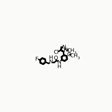 COc1ccc(NC(=O)CNCc2ccc(F)cc2)cc1-c1c(Cl)cnn1C